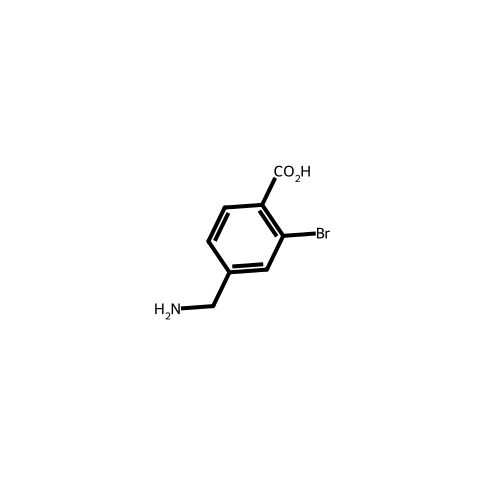 NCc1ccc(C(=O)O)c(Br)c1